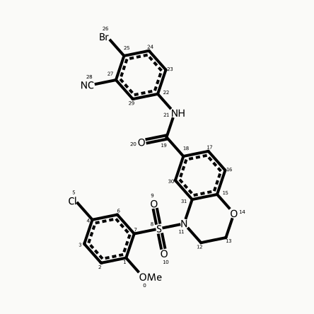 COc1ccc(Cl)cc1S(=O)(=O)N1CCOc2ccc(C(=O)Nc3ccc(Br)c(C#N)c3)cc21